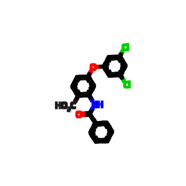 O=C(Nc1cc(Oc2cc(Cl)cc(Cl)c2)ccc1C(=O)O)c1ccccc1